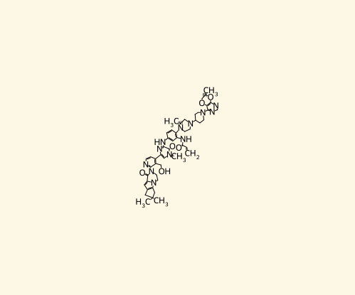 C=CC(=O)Nc1cc(Nc2nc(-c3ccnc(N4CCn5c(cc6c5CC(C)(C)C6)C4=O)c3CO)cn(C)c2=O)ccc1N1CCN(C2CCN(c3ncnc4c3OC[C@@H](C)O4)CC2)C[C@@H]1C